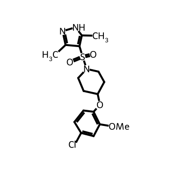 COc1cc(Cl)ccc1OC1CCN(S(=O)(=O)c2c(C)n[nH]c2C)CC1